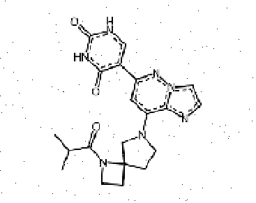 CC(C)C(=O)N1CCC12CCN(c1cc(-c3c[nH]c(=O)[nH]c3=O)nn3ccnc13)C2